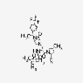 CC1CC(C#N)N(C(=O)C(CN2CC3CC2C(=O)N3[C@@H](C)c2ccc(C(F)(F)F)cc2)NC(=O)OC(C)(C)C)C1